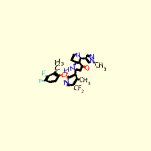 Cc1c(Oc2ncc(C(F)(F)F)c(C)c2-c2cc(=O)c3c(-c4cnn(C)c4)nccc3[nH]2)ccc(F)c1F